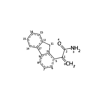 C=C(C(N)=O)c1cccc2c1Cc1ccccc1-2